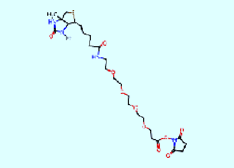 CCN1C(=O)NC2(C)CS[C@@H](CCCCC(=O)NCCOCCOCCOCCOCCC(=O)ON3C(=O)CCC3=O)C12